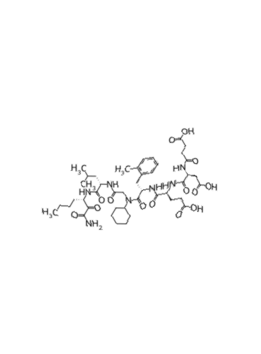 CCCC[C@H](NC(=O)[C@H](CC(C)C)NC(=O)CN(C(=O)[C@H](Cc1ccccc1C)NC(=O)[C@H](CCC(=O)O)NC(=O)[C@H](CC(=O)O)NC(=O)CCC(=O)O)C1CCCCC1)C(=O)C(N)=O